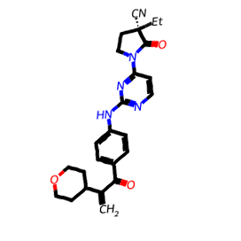 C=C(C(=O)c1ccc(Nc2nccc(N3CC[C@@](C#N)(CC)C3=O)n2)cc1)C1CCOCC1